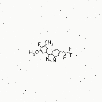 Cc1cc(-c2ncnc3cc(CC(F)C(F)F)ccc23)cc(C)c1F